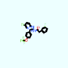 O=C(Cc1cccc(F)c1)Nc1nc2ccc(F)cn2c1-c1ccc(OC(F)(F)F)cc1